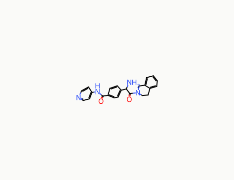 NC(C(=O)N1CCc2ccccc2C1)c1ccc(C(=O)Nc2ccncc2)cc1